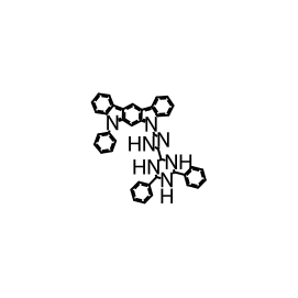 c1ccc(C2NC(C3=NC(n4c5ccccc5c5cc6c7ccccc7n(-c7ccccc7)c6cc54)N3)NC(c3ccccc3)N2)cc1